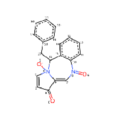 O=C1C=C[N+]2([O-])C1=C[N+](=O)c1ccccc1C2Cc1ccccc1